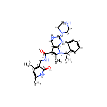 Cc1cc(C)c(CNC(=O)c2c(C)n([C@H](C)c3ccccc3)c3nc(N4CCNCC4)ncc23)c(=O)[nH]1